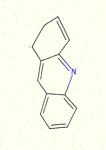 [CH]1CC=Cc2nc3ccccc3cc21